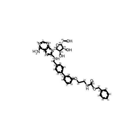 Nc1ncnc2c1nc(NCc1ccc(-c3cccc(OCCNC(=O)OCc4ccccc4)c3)cc1)n2[C@@H]1O[C@H](CO)[C@@H](O)[C@H]1O